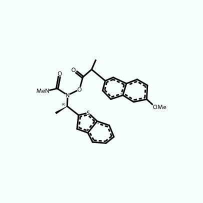 CNC(=O)N(OC(=O)C(C)c1ccc2cc(OC)ccc2c1)[C@H](C)c1cc2ccccc2s1